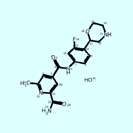 Cc1cc(C(=O)Nc2ccc(C3CNCCO3)c(F)c2)cc(C(N)=O)n1.Cl